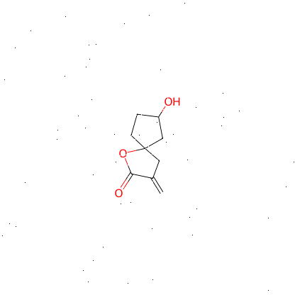 C=C1CC2(CCC(O)C2)OC1=O